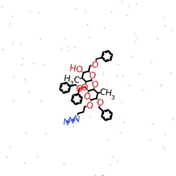 CC1C(OCc2ccccc2)[C@H](OCCCN=[N+]=[N-])O[C@@H](COCc2ccccc2)[C@H]1O[C@@H]1OC(COCc2ccccc2)[C@H](O)[C@H](C)C1OCc1ccccc1